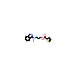 O=C(OCCCNC1=NCc2ccccc21)c1cccs1